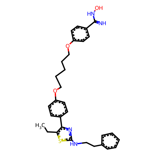 CCc1sc(NCCc2ccccc2)nc1-c1ccc(OCCCCCOc2ccc(C(=N)NO)cc2)cc1